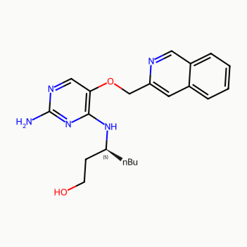 CCCC[C@@H](CCO)Nc1nc(N)ncc1OCc1cc2ccccc2cn1